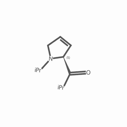 CC(C)C(=O)[C@@H]1C=CCN1C(C)C